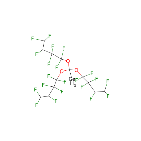 FC(F)C(F)C(F)(F)C(F)(F)O[C]([GeH3])(OC(F)(F)C(F)(F)C(F)C(F)F)OC(F)(F)C(F)(F)C(F)C(F)F